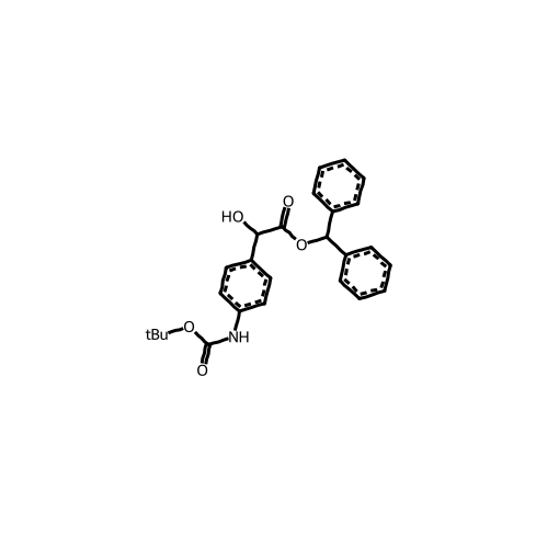 CC(C)(C)OC(=O)Nc1ccc(C(O)C(=O)OC(c2ccccc2)c2ccccc2)cc1